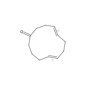 O=C1CC/C=C/CC/C=C/CCC1